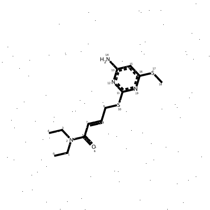 CCN(CC)C(=O)C=CCSc1nc(N)cc(SC)n1